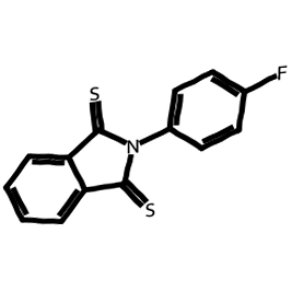 Fc1ccc(N2C(=S)c3ccccc3C2=S)cc1